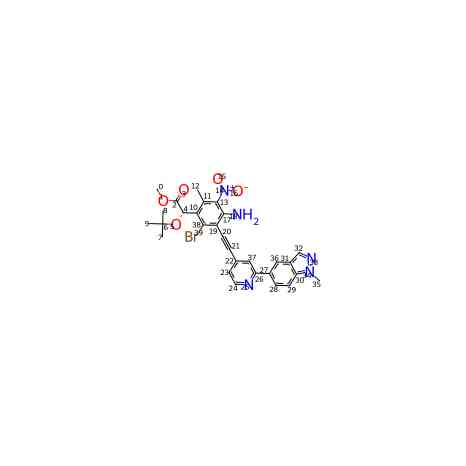 COC(=O)[C@@H](OC(C)(C)C)c1c(C)c([N+](=O)[O-])c(N)c(C#Cc2ccnc(-c3ccc4c(cnn4C)c3)c2)c1Br